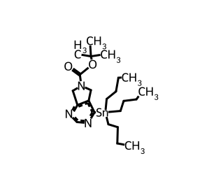 CCC[CH2][Sn]([CH2]CCC)([CH2]CCC)[c]1ncnc2c1CN(C(=O)OC(C)(C)C)C2